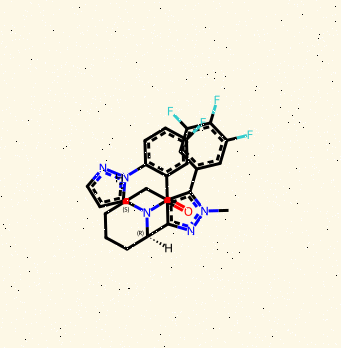 Cn1nc2c(c1-c1cc(F)c(F)c(F)c1)C[C@@H]1CCC[C@H]2N1C(=O)c1cc(F)ccc1-n1cccn1